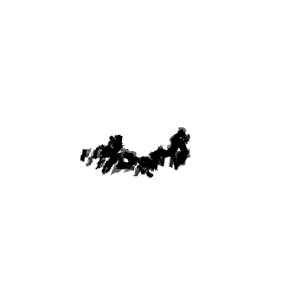 N#CCC1(n2ccc(C3=C4C=CN=C4CC=N3)n2)CN(C2CCN(C(=O)c3ccnc(C(F)(F)F)c3F)CC2)C1